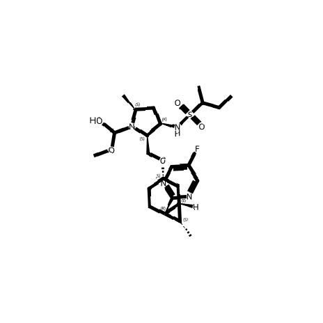 CCC(C)S(=O)(=O)N[C@@H]1C[C@H](C)N(C(O)OC)[C@@H]1CO[C@H]1CC[C@]2(c3ncc(F)cn3)[C@H](C1)[C@@H]2C